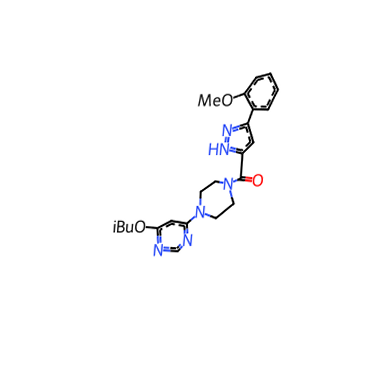 COc1ccccc1-c1cc(C(=O)N2CCN(c3cc(OCC(C)C)ncn3)CC2)[nH]n1